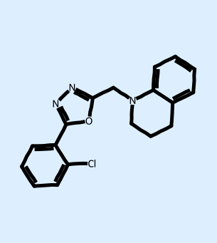 Clc1ccccc1-c1nnc(CN2CCCc3ccccc32)o1